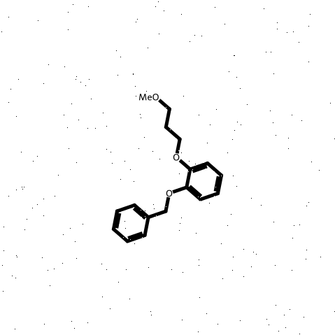 COCCCOc1ccccc1OCc1ccccc1